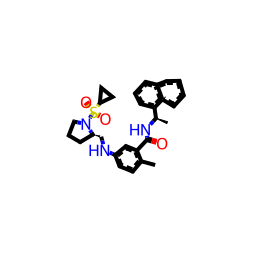 Cc1ccc(NC[C@@H]2CCCN2S(=O)(=O)C2CC2)cc1C(=O)N[C@H](C)c1cccc2ccccc12